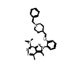 Cc1nnc(N(C)C)c2nn(-c3ccccc3OCC3CCN(Cc4ccccc4)CC3)c(C)c12